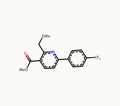 COCc1nc(-c2ccc(C(F)(F)F)cc2)ccc1C(=O)OC